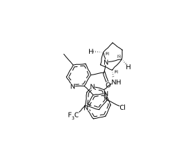 Cc1cnc(-c2ncccn2)c(C(=O)N2[C@@H]3CC[C@H]2[C@H](Nc2ncc(C(F)(F)F)cc2Cl)C3)c1